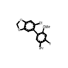 CCc1cc2c(cc1-c1cc(C(C)C)c(F)cc1OC)OCO2